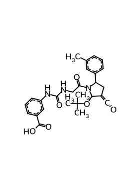 Cc1cccc(C2CC(=C=O)C(OC(C)(C)C)N2C(=O)CNC(=O)Nc2cccc(C(=O)O)c2)c1